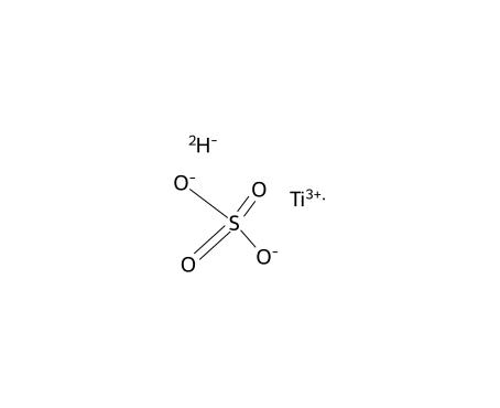 O=S(=O)([O-])[O-].[2H-].[Ti+3]